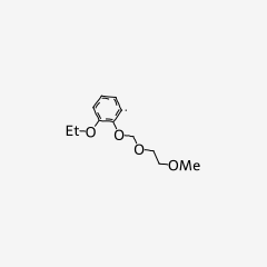 CCOc1ccc[c]c1OCOCCOC